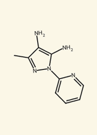 Cc1nn(-c2ccccn2)c(N)c1N